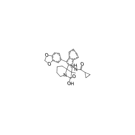 CC(C)(C)C1(c2c(-c3ccc4c(c3)OCO4)c3ccccc3n2NC(=O)C2CC2)CCCCN1C(=O)O